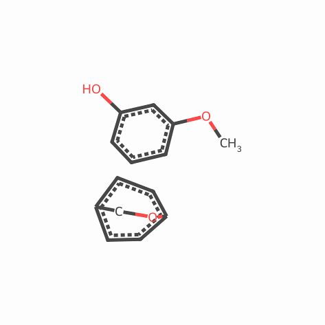 COc1cccc(O)c1.c1cc2ccc1CO2